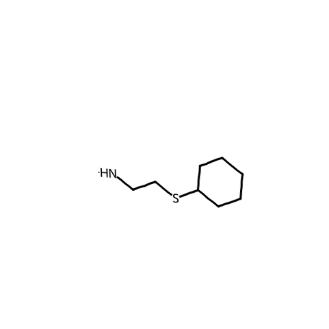 [NH]CCSC1CCCCC1